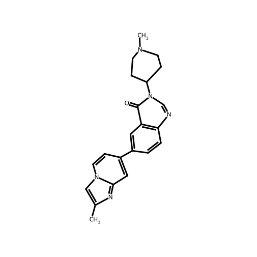 Cc1cn2ccc(-c3ccc4ncn(C5CCN(C)CC5)c(=O)c4c3)cc2n1